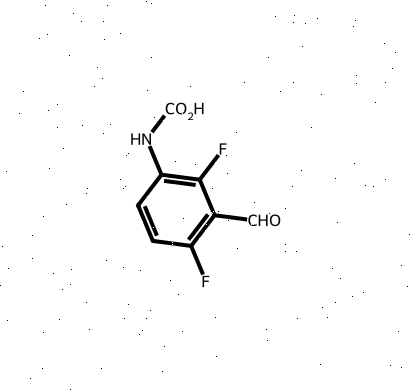 O=Cc1c(F)ccc(NC(=O)O)c1F